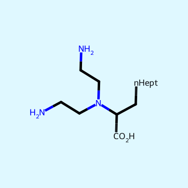 CCCCCCCCC(C(=O)O)N(CCN)CCN